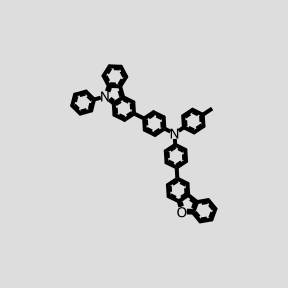 Cc1ccc(N(c2ccc(-c3ccc4oc5ccccc5c4c3)cc2)c2ccc(-c3ccc4c(c3)c3ccccc3n4-c3ccccc3)cc2)cc1